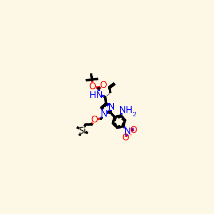 C=CC[C@@H](NC(=O)OC(C)(C)C)c1cn(COCC[Si](C)(C)C)c(-c2ccc([N+](=O)[O-])cc2N)n1